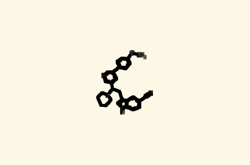 COc1ccc(-c2cncc(C(Cc3c[nH]c4ccc(C#N)cc34)N3CCCCC3)c2)cc1